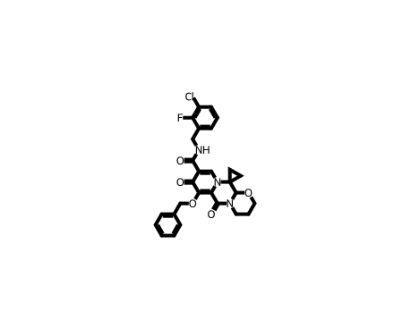 O=C(NCc1cccc(Cl)c1F)c1cn2c(c(OCc3ccccc3)c1=O)C(=O)N1CCCOC1C21CC1